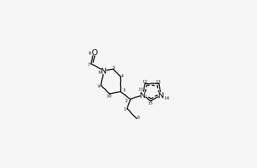 CCC(C1CCN(C=O)CC1)n1ccnc1